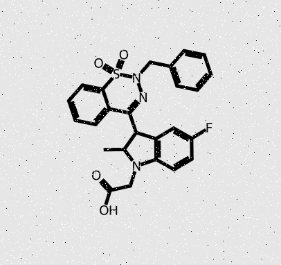 CC1C(C2=NN(Cc3ccccc3)S(=O)(=O)c3ccccc32)c2cc(F)ccc2N1CC(=O)O